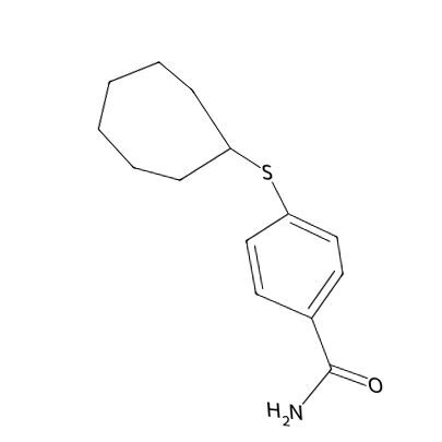 NC(=O)c1ccc(SC2CCCCCC2)cc1